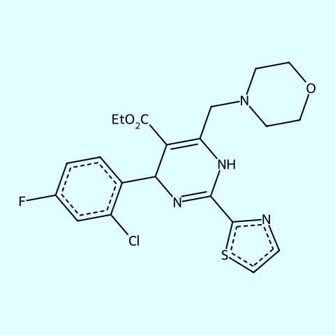 CCOC(=O)C1=C(CN2CCOCC2)NC(c2nccs2)=NC1c1ccc(F)cc1Cl